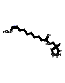 CCCCCCCC/C=C\CCCCCCCC(=O)OCC(C)(CO)CO